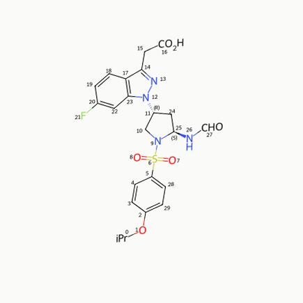 CC(C)Oc1ccc(S(=O)(=O)N2C[C@H](n3nc(CC(=O)O)c4ccc(F)cc43)C[C@H]2NC=O)cc1